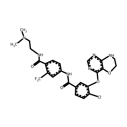 CN(C)CCNC(=O)c1ccc(NC(=O)c2ccc(Cl)c(Oc3ncnc4c3OCCN4)c2)cc1C(F)(F)F